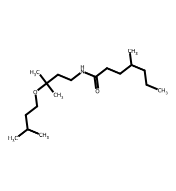 CCCC(C)CCC(=O)NCCC(C)(C)OCCC(C)C